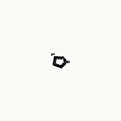 [Ir+3].c1nc[nH]n1